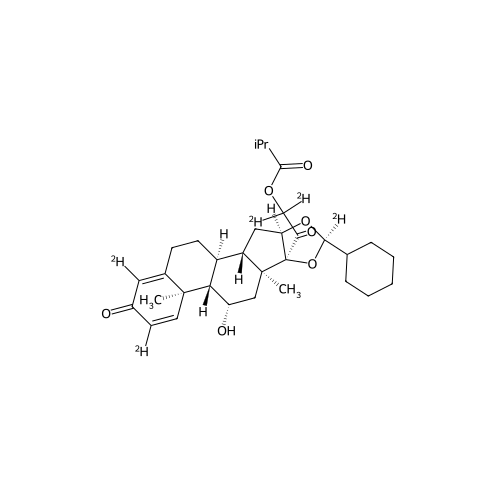 [2H]C1=C[C@@]2(C)C(=C([2H])C1=O)CC[C@@H]1[C@@H]2[C@@H](O)C[C@@]2(C)[C@H]1C[C@H]1O[C@@]([2H])(C3CCCCC3)O[C@]12C(=O)C([2H])([2H])OC(=O)C(C)C